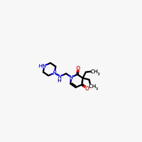 CCC1(CC)C(=O)C=CN(CNN2CCNCC2)C1=O